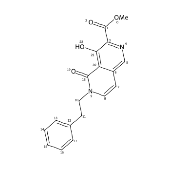 COC(=O)c1ncc2ccn(CCc3ccccc3)c(=O)c2c1O